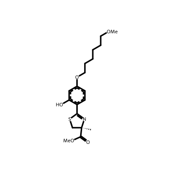 COCCCCCCOc1ccc(C2=N[C@@](C)(C(=O)OC)CS2)c(O)c1